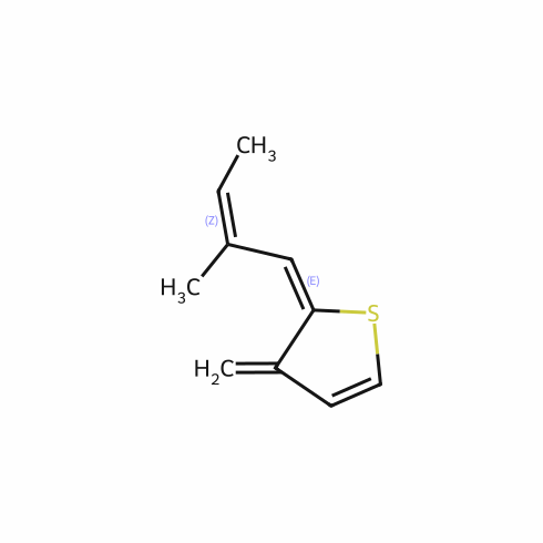 C=c1ccs/c1=C/C(C)=C\C